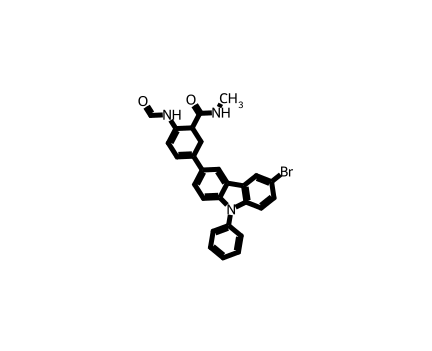 CNC(=O)C1CC(c2ccc3c(c2)c2cc(Br)ccc2n3-c2ccccc2)=CC=C1NC=O